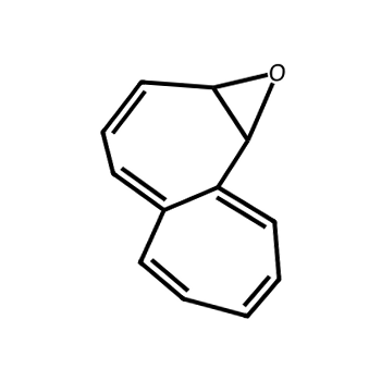 C1=CC=C2C(=CC=CC3OC23)C=C1